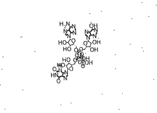 Nc1ncnc2c1ncn2[C@@H]1O[C@H](COP(=O)(OC[C@H]2O[C@@H](n3cnc4c(O)ncnc43)[C@H](O)[C@@H]2O)OP(=O)(OC[C@H]2O[C@@H](n3cnc4c(=O)[nH]c(=O)[nH]c43)[C@H](O)[C@@H]2O)OP(=O)(O)O)[C@@H](O)[C@H]1O